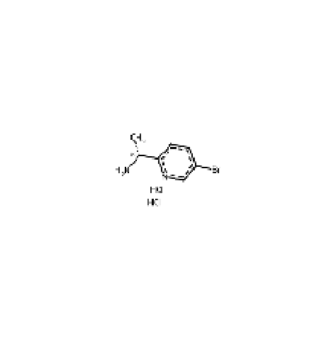 C[C@@H](N)c1ccc(Br)cn1.Cl.Cl